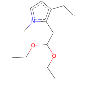 [CH2]Cc1ccn(C)c1CC(OCC)OCC